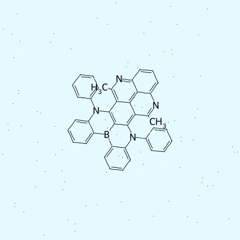 Cc1nc2cccc3nc(C)c4c5c6c(c1c4c23)N(c1ccccc1)c1ccccc1B6c1ccccc1N5c1ccccc1